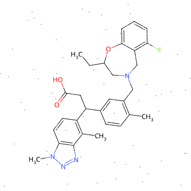 CCC1CN(Cc2cc(C(CC(=O)O)c3ccc4c(nnn4C)c3C)ccc2C)Cc2c(F)cccc2O1